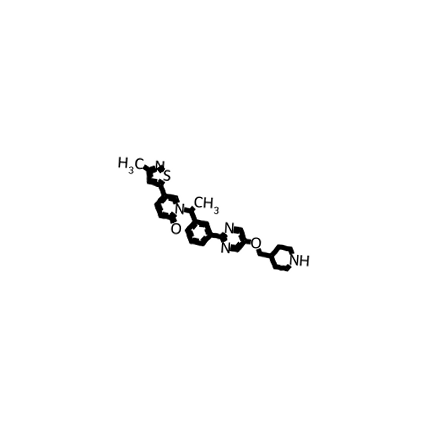 Cc1cc(-c2ccc(=O)n(C(C)c3cccc(-c4ncc(OCC5CCNCC5)cn4)c3)c2)sn1